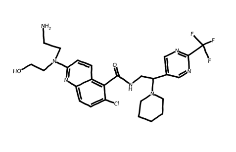 NCCN(CCO)c1ccc2c(C(=O)NCC(c3cnc(C(F)(F)F)nc3)N3CCCCC3)c(Cl)ccc2n1